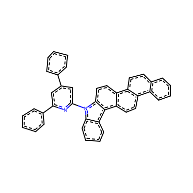 c1ccc(-c2cc(-c3ccccc3)nc(-n3c4ccccc4c4c5ccc6c7ccccc7ccc6c5ccc43)c2)cc1